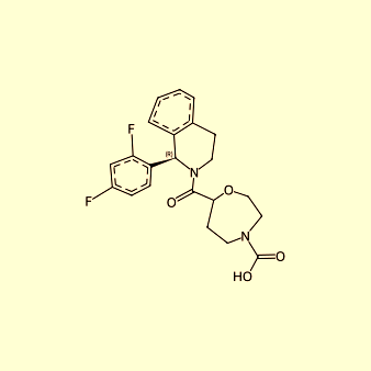 O=C(O)N1CCOC(C(=O)N2CCc3ccccc3[C@@H]2c2ccc(F)cc2F)CC1